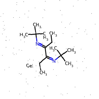 CCC(=NC(C)(C)C)C(CC)=NC(C)(C)C.[Ge]